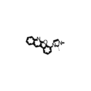 C[C@H]1N(C)C=CN1c1cccc2c1oc1nc3ccccc3cc12